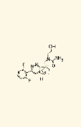 NC(=O)N(CCO)C[C@]12CC[C@H](C1)c1cc(-c3c(F)cccc3F)nnc12